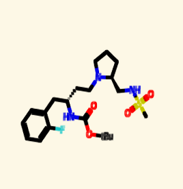 CC(C)(C)OC(=O)N[C@@H](CCN1CCC[C@H]1CNS(C)(=O)=O)Cc1ccccc1F